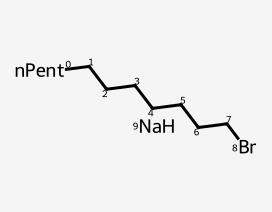 CCCCCCCCCCCCBr.[NaH]